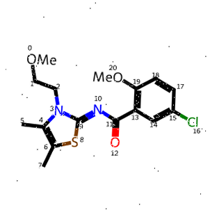 COCCn1c(C)c(C)sc1=NC(=O)c1cc(Cl)ccc1OC